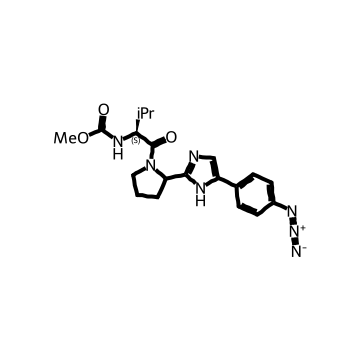 COC(=O)N[C@H](C(=O)N1CCCC1c1ncc(-c2ccc(N=[N+]=[N-])cc2)[nH]1)C(C)C